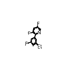 CCc1[c]c(F)cc(-c2ncc(F)cc2F)c1